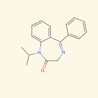 CC(C)N1C(=O)CN=C(c2ccccc2)c2ccccc21